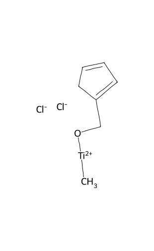 [CH3][Ti+2][O]CC1=CC=CC1.[Cl-].[Cl-]